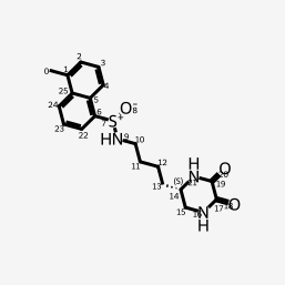 Cc1cccc2c([S+]([O-])NCCCC[C@H]3CNC(=O)C(=O)N3)cccc12